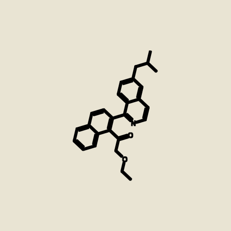 CCOCC(=O)c1c(-c2nccc3cc(CC(C)C)ccc23)ccc2ccccc12